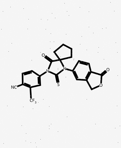 N#Cc1ccc(N2C(=O)C3(CCCC3)N(c3ccc4c(c3)COC4=O)C2=S)cc1C(F)(F)F